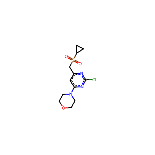 O=S(=O)(Cc1cc(N2CCOCC2)nc(Cl)n1)C1CC1